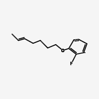 CC=CCCCCOc1ccc[c]c1F